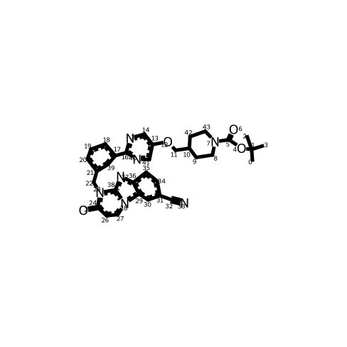 CC(C)(C)OC(=O)N1CCC(COc2cnc(-c3cccc(Cn4c(=O)ccn5c6cc(C#N)ccc6nc45)c3)nc2)CC1